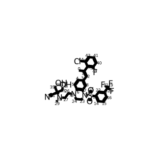 C/C(=C\c1ccc2c(c1)N(S(=O)(=O)c1cccc(C(F)(F)F)c1)CCN2CCN(C)C(C#N)(CO)CO)c1c(F)cccc1Cl